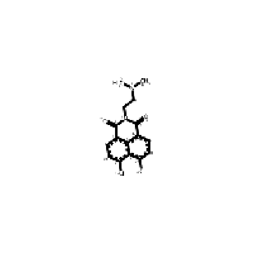 CN(C)CCN1C(=O)c2ccc(Cl)c3c(Cl)ccc(c23)C1=O